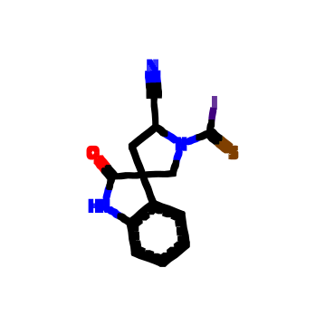 N#CC1CC2(CN1C(=S)I)C(=O)Nc1ccccc12